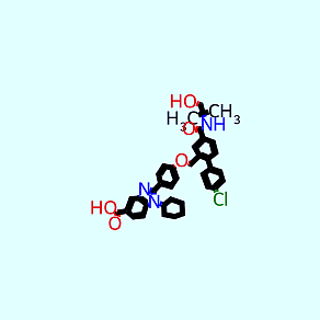 CC(C)(CO)NC(=O)c1ccc(-c2ccc(Cl)cc2)c(COc2ccc(-c3nc4cc(C(=O)O)ccc4n3C3CCCCC3)cc2)c1